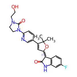 CC1(C)O/C(=C2/C(=O)Nc3cc(F)ccc32)C=C1c1ccc(N2CCN(CCO)C2=O)nc1